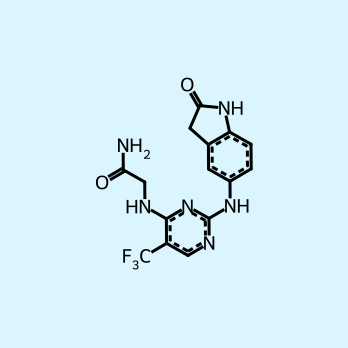 NC(=O)CNc1nc(Nc2ccc3c(c2)CC(=O)N3)ncc1C(F)(F)F